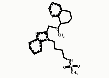 CN(Cc1nc2ccccc2n1CCCCNS(C)(=O)=O)C1CCCc2cccnc21